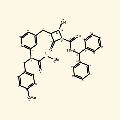 COc1ccc(CN(C(=O)OC(C)(C)C)c2cc(CC3C(=O)N(C(=O)NC(c4ccccc4)c4ccccc4)[C@@H]3C#N)ccn2)cc1